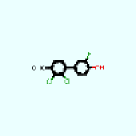 O=Cc1ccc(-c2ccc(O)c(F)c2)c(Cl)c1Cl